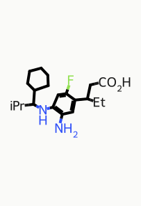 CCC(CC(=O)O)c1cc(N)c(NC(C(C)C)C2CCCCC2)cc1F